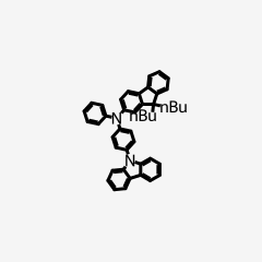 CCCCC1(CCCC)c2ccccc2-c2ccc(N(c3ccccc3)c3ccc(-n4c5ccccc5c5ccccc54)cc3)cc21